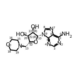 Nc1ncnc2c1ncn2[C@@H]1O[C@H](CN2CCOCC2)[C@@H](O)[C@H]1O